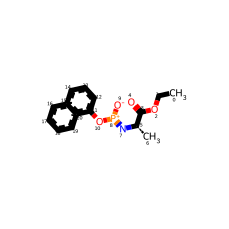 CCOC(=O)[C@H](C)N=[P+]([O-])Oc1cccc2ccccc12